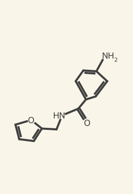 Nc1ccc(C(=O)NCc2ccco2)cc1